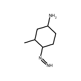 CC1CC(N)CCC1N=N